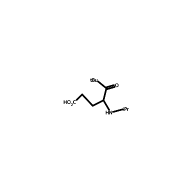 CC(C)NC(CCC(=O)O)C(=O)C(C)(C)C